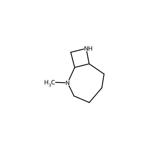 CN1CCCCC2NCC21